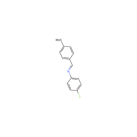 CSc1ccc(/C=N/c2ccc(F)cc2)cc1